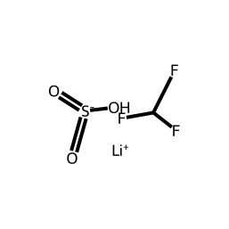 FC(F)F.O=[S-](=O)O.[Li+]